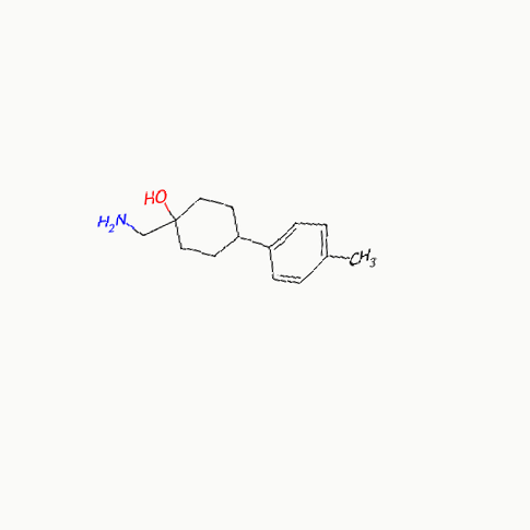 Cc1ccc(C2CCC(O)(CN)CC2)cc1